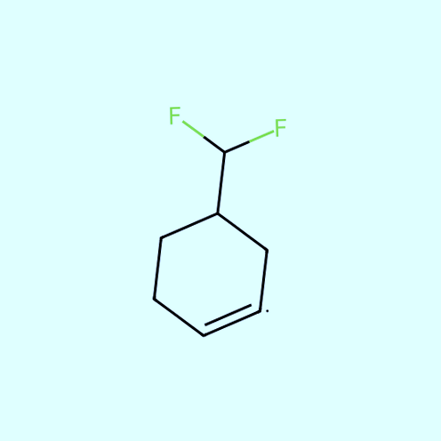 FC(F)C1C[C]=CCC1